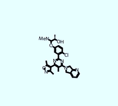 CNC(Oc1ccc(Cl)c(-c2nc(-c3c(C)noc3C)c(C)c(N3Cc4cccnc4C3)n2)c1)[C@@H](C)O